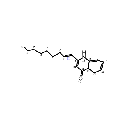 CCCCCCC/C=C/C1=CC(=O)C2CC=CC=C2N1